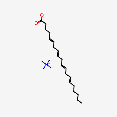 CCCCCC=CCC=CCC=CCC=CCCCC(=O)[O-].C[N+](C)(C)C